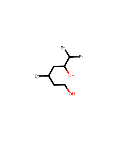 CCC(CCO)CC(O)C(CC)CC